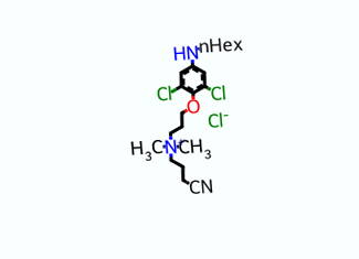 CCCCCCNc1cc(Cl)c(OCCC[N+](C)(C)CCCC#N)c(Cl)c1.[Cl-]